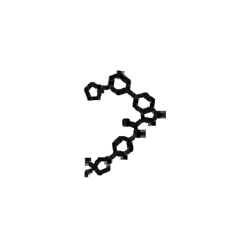 O=C(Nc1ccc(N2CCC(F)(F)C2)nc1)c1n[nH]c2ccc(-c3cncc(N4CCCC4)c3)cc12